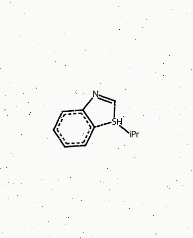 CC(C)[SH]1C=Nc2ccccc21